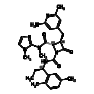 CC[C@@H](NC(=O)N1C(=O)[C@H](Cc2cc(C)nc(N)c2)[C@H]1C(=O)N(C)c1nccn1C)c1cc(C)ccc1C